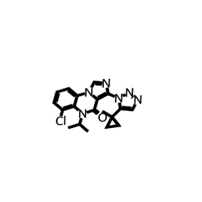 CC(C)n1c(=O)c2c(-n3nncc3C3(C)CC3)ncn2c2cccc(Cl)c21